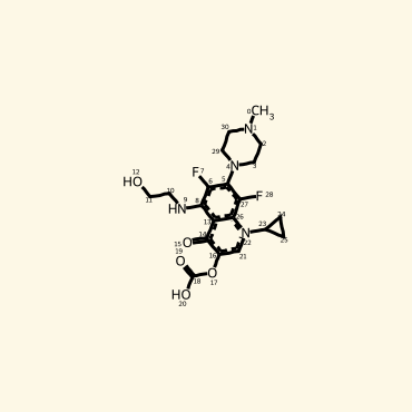 CN1CCN(c2c(F)c(NCCO)c3c(=O)c(OC(=O)O)cn(C4CC4)c3c2F)CC1